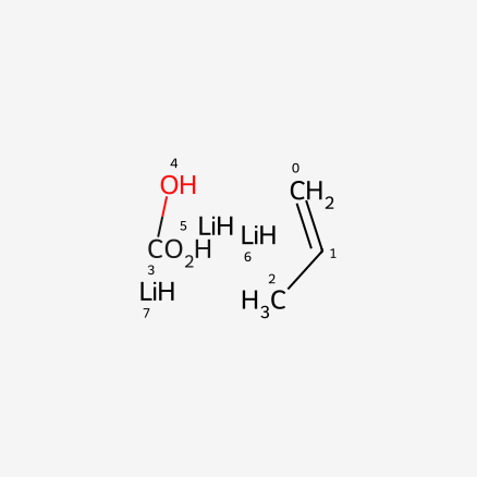 C=CC.O=C(O)O.[LiH].[LiH].[LiH]